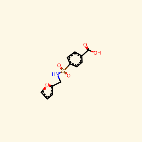 O=C(O)c1ccc(S(=O)(=O)NCc2ccco2)cc1